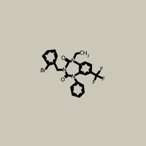 CCN1C(=O)N(Cc2ccccc2Br)C(=O)N(c2ccccc2)c2cc(C(F)(F)F)ccc21